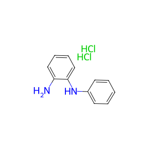 Cl.Cl.Nc1ccccc1Nc1ccccc1